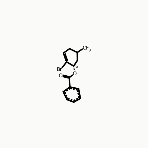 O=C(O[C@H]1CC(C(F)(F)F)CC=C1Br)c1ccccc1